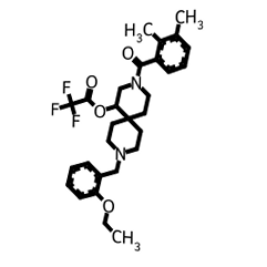 CCOc1ccccc1CN1CCC2(CC1)CCN(C(=O)c1cccc(C)c1C)CC2OC(=O)C(F)(F)F